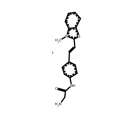 C[n+]1c(C=Cc2ccc(NC(=O)CN)cc2)sc2ccccc21.[I-]